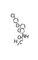 C=CC(=O)NC1COc2c(cccc2Oc2ccc(Cl)cc2)C1